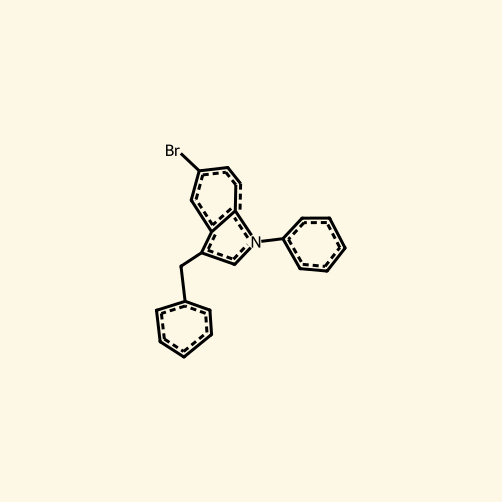 Brc1ccc2c(c1)c(Cc1ccccc1)cn2-c1ccccc1